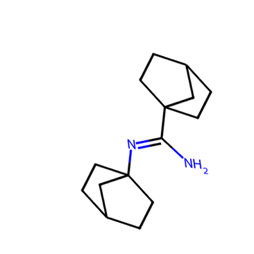 NC(=NC12CCC(CC1)C2)C12CCC(CC1)C2